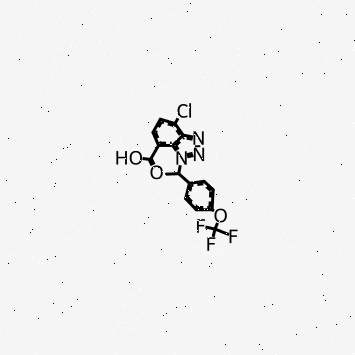 CC(c1ccc(OC(F)(F)F)cc1)n1nnc2c(Cl)ccc(C(=O)O)c21